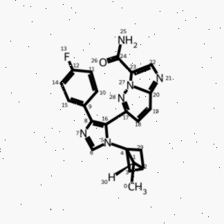 C[C@H]1C2CC1(n1cnc(-c3ccc(F)cc3)c1-c1ccc3ncc(C(N)=O)n3n1)C2